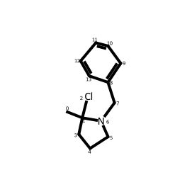 CC1(Cl)CCCN1Cc1ccccc1